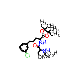 COCC(NC(=O)O)C(=O)NC(CCCc1cccc(Cl)c1)B1OC(C)(C)C(C)(C)O1